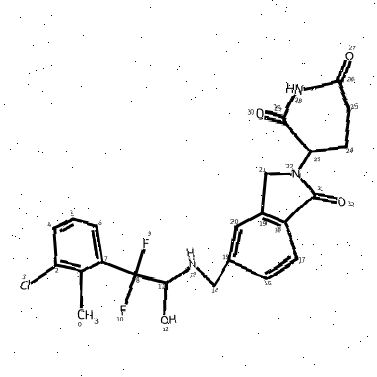 Cc1c(Cl)cccc1C(F)(F)C(O)NCc1ccc2c(c1)CN(C1CCC(=O)NC1=O)C2=O